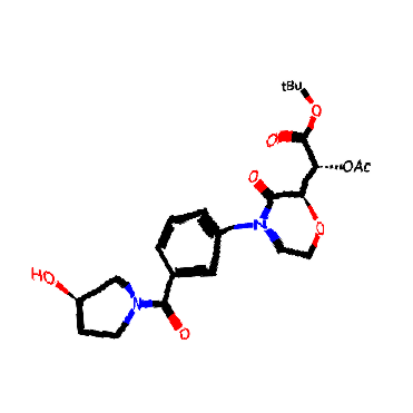 CC(=O)O[C@@H](C(=O)OC(C)(C)C)[C@H]1OCCN(c2cccc(C(=O)N3CC[C@@H](O)C3)c2)C1=O